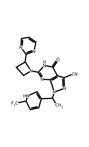 CC(C1=CNC(C(F)(F)F)C=C1)n1nc(C#N)c2c(=O)[nH]c(N3CCC3c3ncccn3)nc21